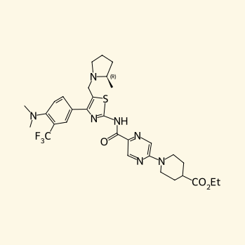 CCOC(=O)C1CCN(c2cnc(C(=O)Nc3nc(-c4ccc(N(C)C)c(C(F)(F)F)c4)c(CN4CCC[C@H]4C)s3)cn2)CC1